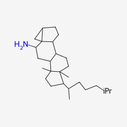 CC(C)CCCC(C)C1CCC2(C)C3CC(N)C45CC4CCC5C3CCC12C